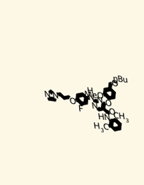 CCCCOCc1ccc(Oc2nc(Nc3ccc(OCCCn4ccnc4)c(F)c3)ncc2C(=O)Nc2c(C)cccc2C)c(OC)c1